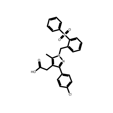 Cc1c(CC(=O)O)c(-c2ccc(Cl)cc2)nn1Cc1ccccc1S(=O)(=O)c1ccccc1